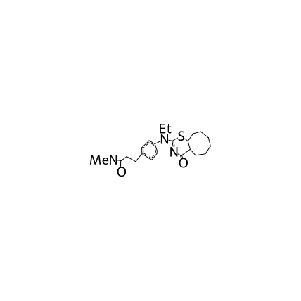 CCN(C1=NC(=O)C2CCCCCCC2S1)c1ccc(CCC(=O)NC)cc1